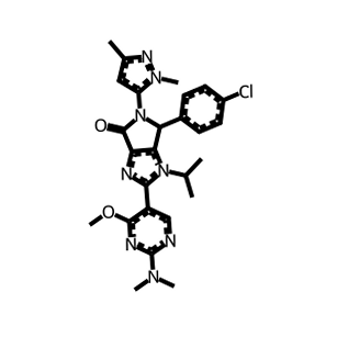 COc1nc(N(C)C)ncc1-c1nc2c(n1C(C)C)C(c1ccc(Cl)cc1)N(c1cc(C)nn1C)C2=O